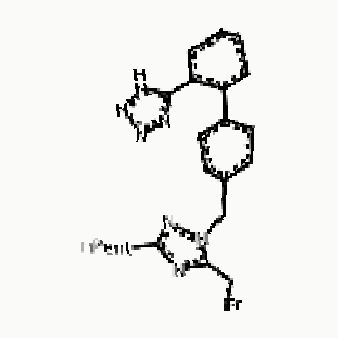 CCCCCc1nc(CC(C)C)n(Cc2ccc(-c3ccccc3-c3nnn[nH]3)cc2)n1